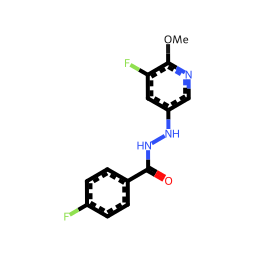 COc1ncc(NNC(=O)c2ccc(F)cc2)cc1F